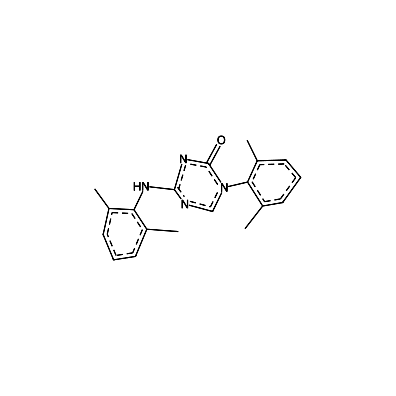 Cc1cccc(C)c1Nc1ncn(-c2c(C)cccc2C)c(=O)n1